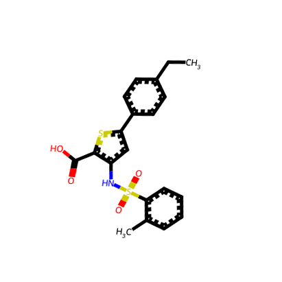 CCc1ccc(-c2cc(NS(=O)(=O)c3ccccc3C)c(C(=O)O)s2)cc1